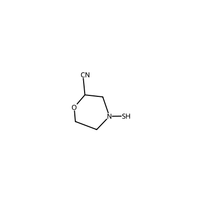 N#CC1CN(S)CCO1